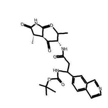 CC(C)[C@H](NC(=O)CC(NC(=O)OC(C)(C)C)c1ccc2ccncc2c1)C(=O)[C@@H]1C(=O)NC(=O)[C@H]1C